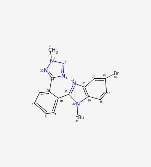 Cn1cnc(-c2ccccc2-c2nc3cc(Br)ccc3n2C(C)(C)C)n1